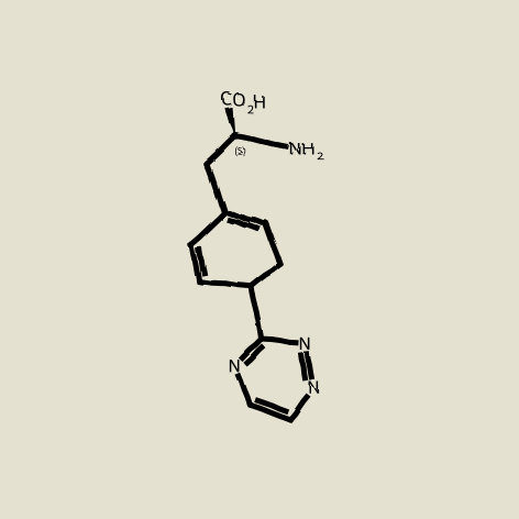 N[C@@H](CC1=CCC(c2nccnn2)C=C1)C(=O)O